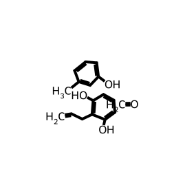 C=CCc1c(O)cccc1O.C=O.Cc1cccc(O)c1